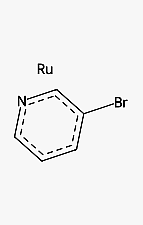 Brc1cccnc1.[Ru]